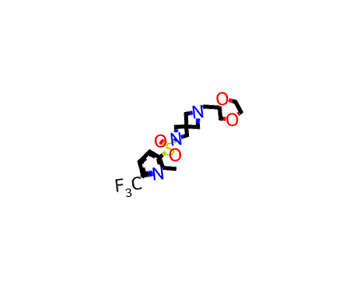 Cc1nc(C(F)(F)F)ccc1S(=O)(=O)N1CC2(CN(CC3COCCO3)C2)C1